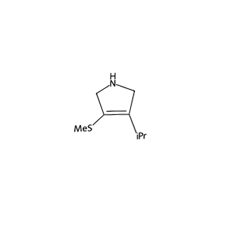 CSC1=C(C(C)C)CNC1